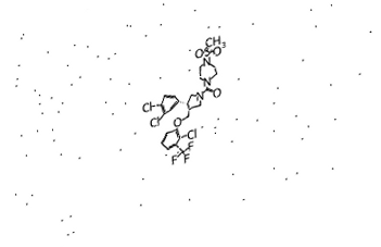 CS(=O)(=O)N1CCN(C(=O)N2C[C@@H](COc3cccc(C(F)(F)F)c3Cl)[C@H](c3ccc(Cl)c(Cl)c3)C2)CC1